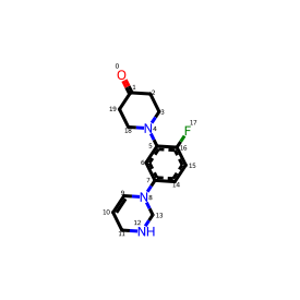 O=C1CCN(c2cc(N3C=CCNC3)ccc2F)CC1